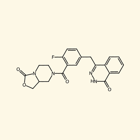 O=C(c1cc(Cc2n[nH]c(=O)c3ccccc23)ccc1F)N1CCN2C(=O)OCC2C1